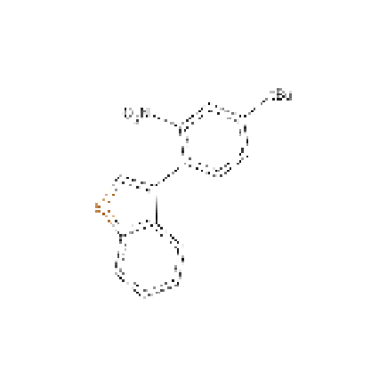 CC(C)(C)c1ccc(-c2csc3ccccc23)c([N+](=O)[O-])c1